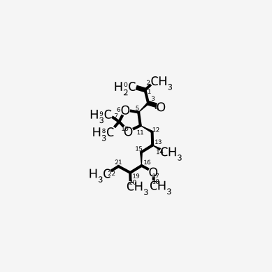 C=C(C)C(=O)[C@@H]1OC(C)(C)O[C@@H]1C[C@@H](C)C[C@@H](OC)C(C)CC